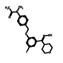 CC(=O)N(C)c1ccc(CSc2cc(F)cc(C(=NO)C3CCOCC3)c2)cc1